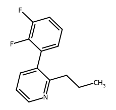 CCCc1ncccc1-c1cccc(F)c1F